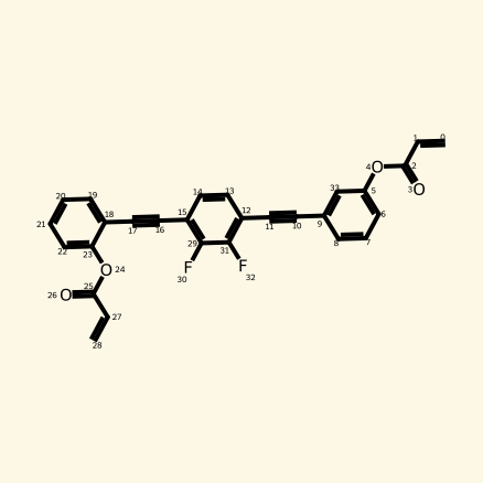 C=CC(=O)Oc1cccc(C#Cc2ccc(C#Cc3ccccc3OC(=O)C=C)c(F)c2F)c1